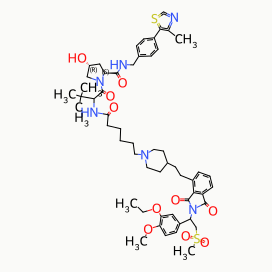 CCOc1cc(C(CS(C)(=O)=O)N2C(=O)c3cccc(CCC4CCN(CCCCCC(=O)NC(C(=O)N5C[C@H](O)C[C@H]5C(=O)NCc5ccc(-c6scnc6C)cc5)C(C)(C)C)CC4)c3C2=O)ccc1OC